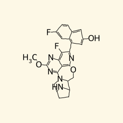 COc1nc2c3c(nc(-c4cc(O)cc5ccc(F)cc45)c(F)c3n1)OCC1C3CCC(CN21)N3